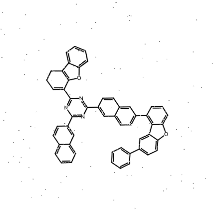 C1=C(c2nc(-c3ccc4ccccc4c3)nc(-c3ccc4cc(-c5cccc6oc7ccc(-c8ccccc8)cc7c56)ccc4c3)n2)c2oc3ccccc3c2CC1